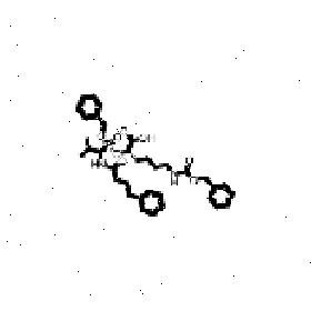 CC(C)C(NC(=O)CCCc1ccccc1)P(=O)(OCc1ccccc1)O[C@@H](CCCCNC(=O)OCc1ccccc1)C(=O)O